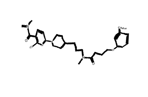 COc1cccc(OCCCC(=O)N(C)CCCC2CCN(c3ccc(C(=O)N(C)C)c(Cl)n3)CC2)c1